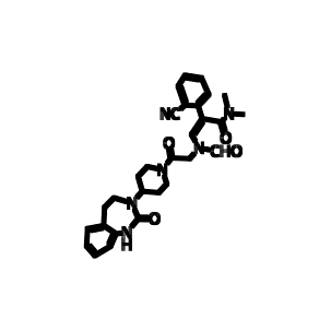 CN(C)C(=O)/C(=C\N(C=O)CC(=O)N1CCC(N2CCc3ccccc3NC2=O)CC1)c1ccccc1C#N